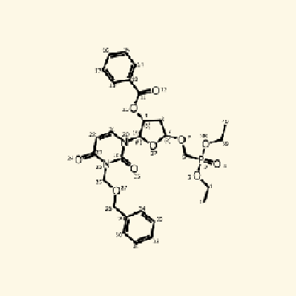 CCOP(=O)(CO[C@@H]1C[C@H](OC(=O)c2ccccc2)[C@H](n2ccc(=O)n(COCc3ccccc3)c2=O)O1)OCC